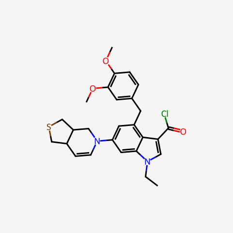 CCn1cc(C(=O)Cl)c2c(Cc3ccc(OC)c(OC)c3)cc(N3C=CC4CSCC4C3)cc21